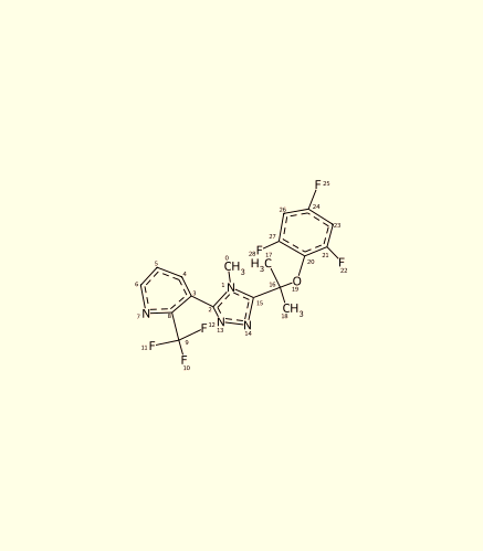 Cn1c(-c2cccnc2C(F)(F)F)nnc1C(C)(C)Oc1c(F)cc(F)cc1F